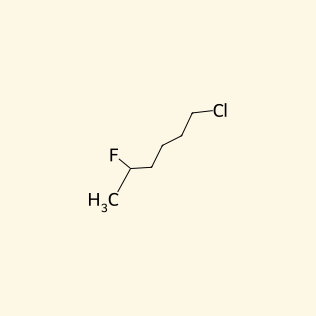 CC(F)CCCCCl